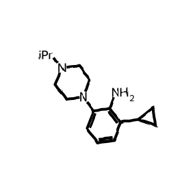 CC(C)N1CCN(c2cccc(C3CC3)c2N)CC1